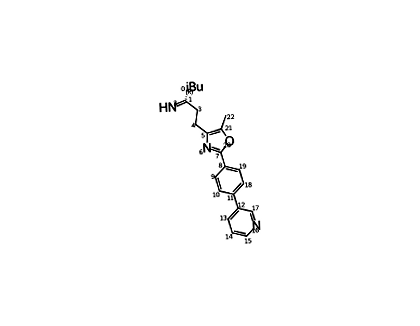 CC[C@@H](C)C(=N)CCc1nc(-c2ccc(-c3cccnc3)cc2)oc1C